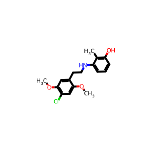 COc1cc(CCNc2cccc(O)c2C)c(OC)cc1Cl